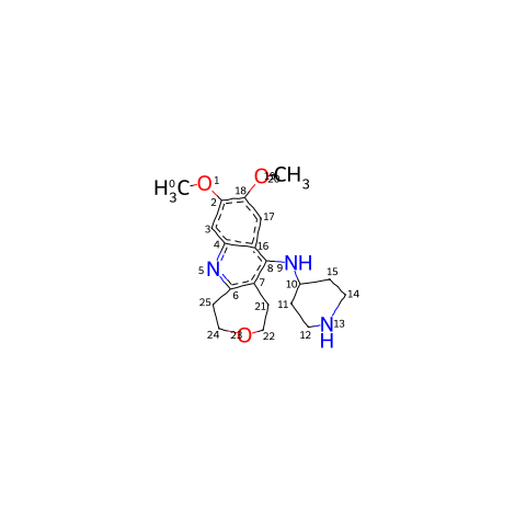 COc1cc2nc3c(c(NC4CCNCC4)c2cc1OC)CCOCC3